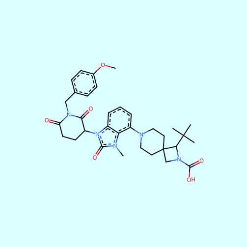 COc1ccc(CN2C(=O)CCC(n3c(=O)n(C)c4c(N5CCC6(CC5)CN(C(=O)O)C6C(C)(C)C)cccc43)C2=O)cc1